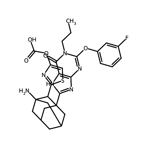 CCCn1c(Oc2cccc(F)c2)nc2nc(C34CC5CC(CC(N)(C5)C3c3nc(OC(=O)O)cs3)C4)[nH]c2c1=O